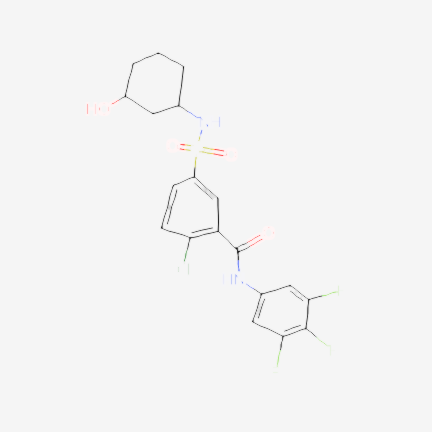 O=C(Nc1cc(F)c(F)c(F)c1)c1cc(S(=O)(=O)NC2CCCC(O)C2)ccc1Cl